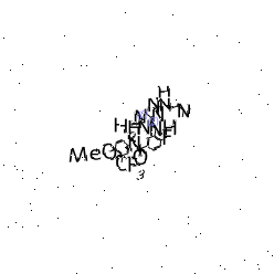 C=C/N=C1/C=NC(NCCN(C)C)=N/C1=C(/N)Nc1cc(C(=O)Nc2ccc(OC)c(C(F)(F)F)c2)ccc1F